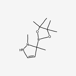 CN1NC=CC1(C)B1OC(C)(C)C(C)(C)O1